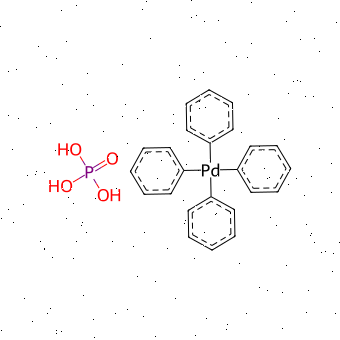 O=P(O)(O)O.c1cc[c]([Pd]([c]2ccccc2)([c]2ccccc2)[c]2ccccc2)cc1